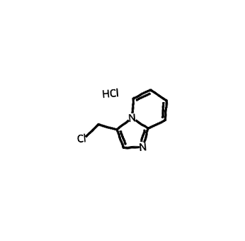 Cl.ClCc1cnc2ccccn12